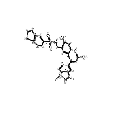 CN(Cc1cc(C(CC(=O)O)c2ccc3c(c2)nnn3C)ccc1Cl)S(=O)(=O)c1ccc2c(c1)CCC2